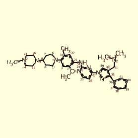 COc1cc(N2CCC(N3CCN(C)CC3)CC2)c(C)cc1Nc1nccc(-n2cc(CN(C)C)c(-c3ccccc3)n2)n1